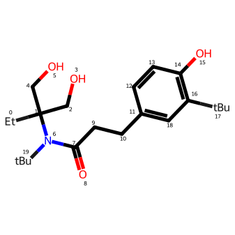 CCC(CO)(CO)N(C(=O)CCc1ccc(O)c(C(C)(C)C)c1)C(C)(C)C